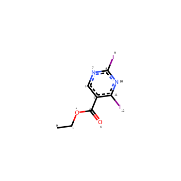 CCOC(=O)c1cnc(I)nc1I